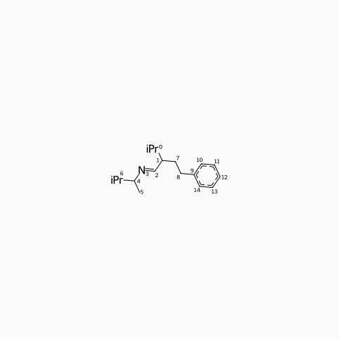 CC(C)C(/C=N/C(C)C(C)C)CCc1ccccc1